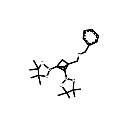 CC1(C)OB(C2C3(COCc4ccccc4)CC2(B2OC(C)(C)C(C)(C)O2)C3)OC1(C)C